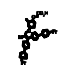 CCC(COc1ccc(OCC(=O)O)c(C)c1)=C(c1ccc(-c2ccc(C(C)C)cc2)cc1)c1ccc(-c2ccc(C(C)C)cc2)cc1